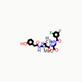 COC(=O)C(CNC(=O)c1cc(F)cc(F)c1)NC(=O)c1sc(NC(=O)Cc2cccc(O)c2)nc1C